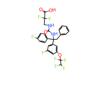 O=C(NCC(F)(F)C(=O)O)NC(Cc1ccccc1)(c1ccc(F)cc1)c1cc(F)cc(OC(F)(F)C(F)F)c1